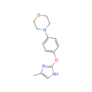 Cc1c[nH]c(Oc2ccc(N3CCOCC3)cc2)n1